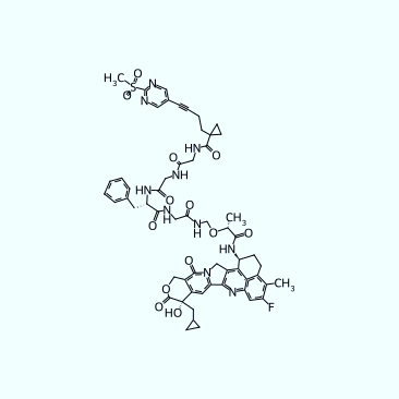 Cc1c(F)cc2nc3c(c4c2c1CC[C@@H]4NC(=O)[C@@H](C)OCNC(=O)CNC(=O)[C@H](Cc1ccccc1)NC(=O)CNC(=O)CNC(=O)C1(CCC#Cc2cnc(S(C)(=O)=O)nc2)CC1)Cn1c-3cc2c(c1=O)COC(=O)[C@]2(O)CC1CC1